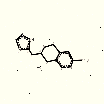 Cl.O=C(O)c1ccc2c(c1)CCC(Cc1ncc[nH]1)C2